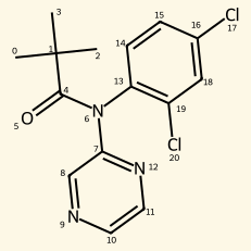 CC(C)(C)C(=O)N(c1cnccn1)c1ccc(Cl)cc1Cl